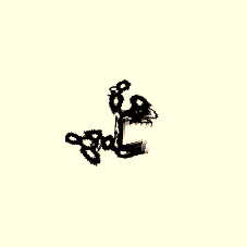 c1ccc2c(c1)-c1ccccc1-n1c3cc4c5ccccc5n(-c5nc(-c6ccc7sc8ccccc8c7c6)c6c(n5)oc5ccccc56)c4cc3c3cccc-2c31